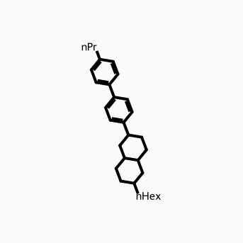 CCCCCCC1CCC2CC(c3ccc(-c4ccc(CCC)cc4)cc3)CCC2C1